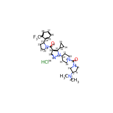 CN(C)C1CCN(C(=O)N2CCC(n3ncc(C(=O)N4CCCC4c4ccccc4C(F)(F)F)c3C3CC3)CC2)C1.Cl